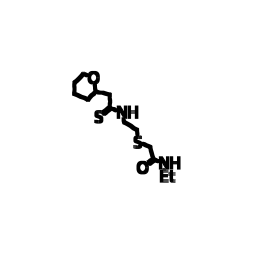 CCNC(=O)CSCCNC(=S)CC1CCCCO1